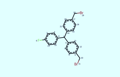 Fc1ccc(C(c2ccc(CBr)cc2)c2ccc(CBr)cc2)cc1